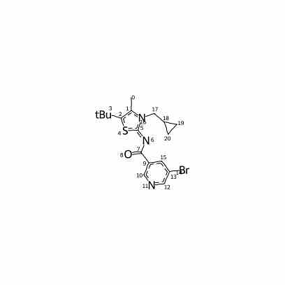 Cc1c(C(C)(C)C)s/c(=N\C(=O)c2cncc(Br)c2)n1CC1CC1